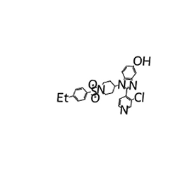 CCc1ccc(S(=O)(=O)N2CCC(n3c(-c4ccncc4Cl)nc4cc(O)ccc43)CC2)cc1